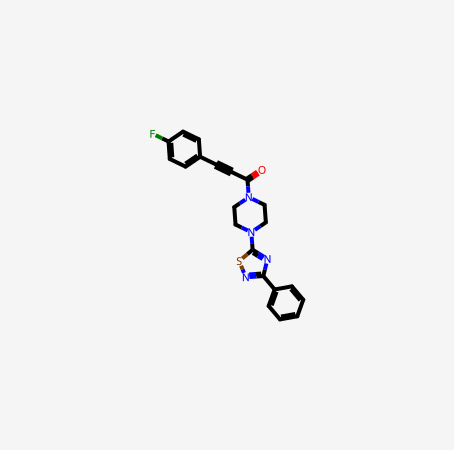 O=C(C#Cc1ccc(F)cc1)N1CCN(c2nc(-c3ccccc3)ns2)CC1